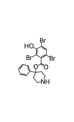 O=C(OC1(c2ccccc2)CCNCC1)c1c(Br)cc(Br)c(O)c1Br